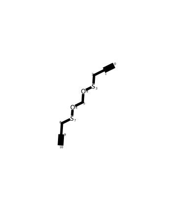 C#CCSOCOSCC#C